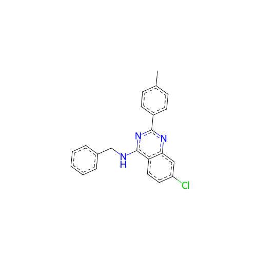 Cc1ccc(-c2nc(NCc3ccccc3)c3ccc(Cl)cc3n2)cc1